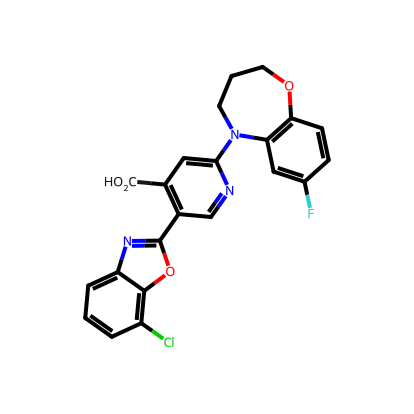 O=C(O)c1cc(N2CCCOc3ccc(F)cc32)ncc1-c1nc2cccc(Cl)c2o1